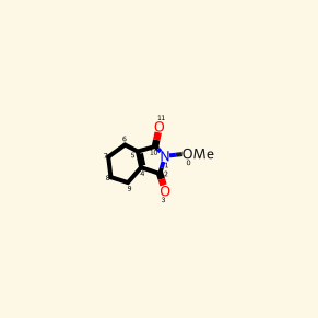 CON1C(=O)C2=C(CCCC2)C1=O